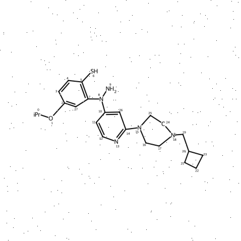 CC(C)Oc1ccc(S)c(N(N)c2ccnc(N3CCN(CC4CCC4)CC3)c2)c1